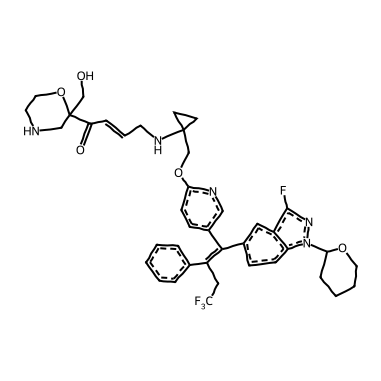 O=C(/C=C/CNC1(COc2ccc(/C(=C(/CC(F)(F)F)c3ccccc3)c3ccc4c(c3)c(F)nn4C3CCCCO3)cn2)CC1)C1(CO)CNCCO1